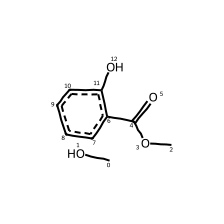 CO.COC(=O)c1ccccc1O